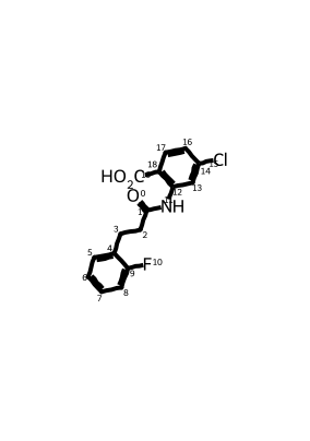 O=C(CCc1ccccc1F)Nc1cc(Cl)ccc1C(=O)O